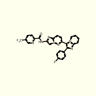 O=C(Nc1cn2nc(-c3c(-c4ccc(F)cc4)nc4ccccn34)ccc2n1)c1ccc(C(F)(F)F)cn1